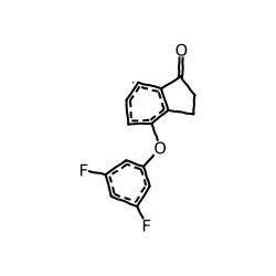 O=C1CCc2c1[c]ccc2Oc1cc(F)cc(F)c1